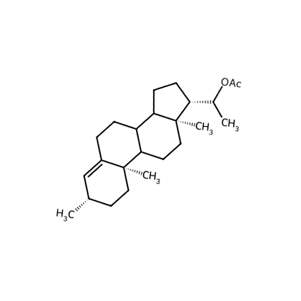 CC(=O)OC(C)[C@H]1CCC2C3CCC4=C[C@@H](C)CC[C@]4(C)C3CC[C@@]21C